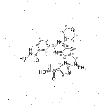 CNC(=O)c1cccc(-c2nc(N3CCOCC3)c3sc(CN(C)c4ncc(C(=O)NO)cn4)cc3n2)c1